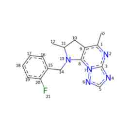 Cc1nc2ncnn2c2c1CC(C)N2Cc1ccccc1F